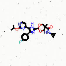 CC(C)Oc1nccc(-c2[nH]c(C3OCC(C)(C(=O)NC4CC4)CO3)nc2-c2ccc(F)cc2)n1